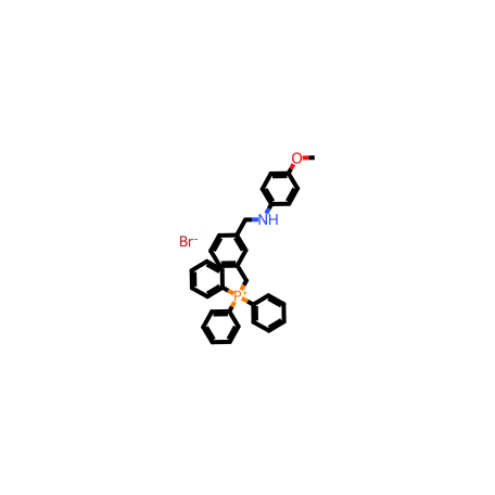 COc1ccc(NCc2cccc(C[P+](c3ccccc3)(c3ccccc3)c3ccccc3)c2)cc1.[Br-]